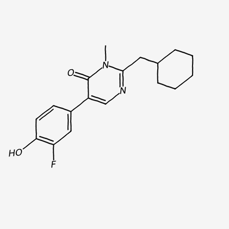 Cn1c(CC2CCCCC2)ncc(-c2ccc(O)c(F)c2)c1=O